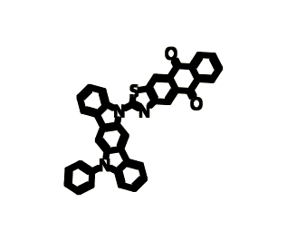 O=C1c2ccccc2C(=O)c2cc3sc(-n4c5ccccc5c5cc6c(cc54)c4ccccc4n6-c4ccccc4)nc3cc21